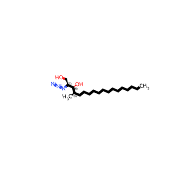 CCCCCCCCCCCCCC[C@@H](C)[C@@H](O)[C@H](CO)N=[N+]=[N-]